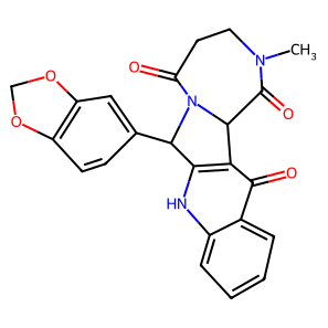 CN1CCC(=O)N2C(C1=O)c1c([nH]c3ccccc3c1=O)C2c1ccc2c(c1)OCO2